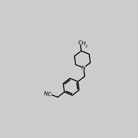 CC1CCN(Cc2ccc(CC#N)cc2)CC1